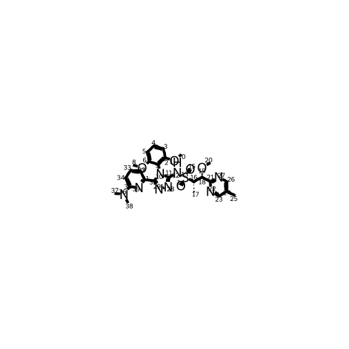 COc1cccc(OC)c1-n1c(NS(=O)(=O)[C@@H](C)[C@H](OC)c2ncc(C)cn2)nnc1-c1cccc(N(C)C)n1